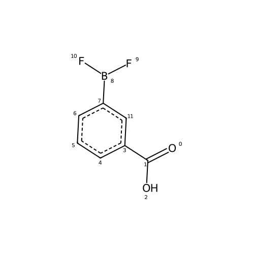 O=C(O)c1cccc(B(F)F)c1